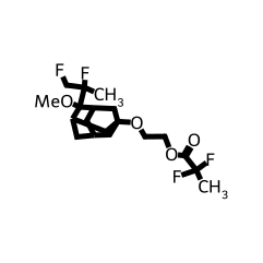 COC1(C(C)(F)CF)C2CC3CC1CC(OCCOC(=O)C(C)(F)F)(C3)C2